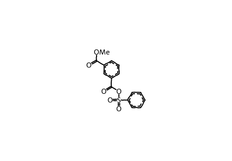 COC(=O)c1cccc(C(=O)OS(=O)(=O)c2ccccc2)c1